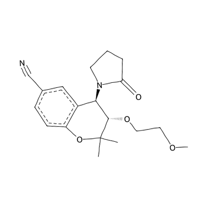 COCCO[C@H]1[C@H](N2CCCC2=O)c2cc(C#N)ccc2OC1(C)C